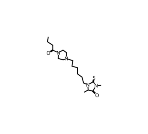 CCCC(=O)N1CCN(CCCCCCN2C(=S)N(C)C(=O)C2C)CC1